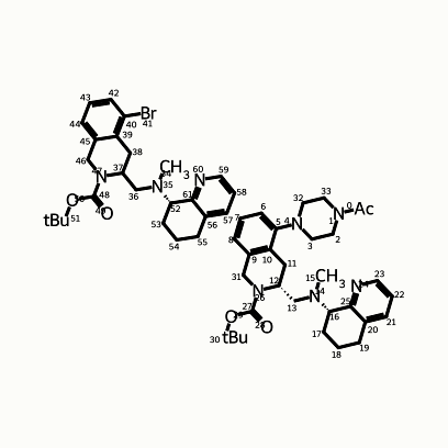 CC(=O)N1CCN(c2cccc3c2C[C@H](CN(C)[C@H]2CCCc4cccnc42)N(C(=O)OC(C)(C)C)C3)CC1.CN(CC1Cc2c(Br)cccc2CN1C(=O)OC(C)(C)C)[C@H]1CCCc2cccnc21